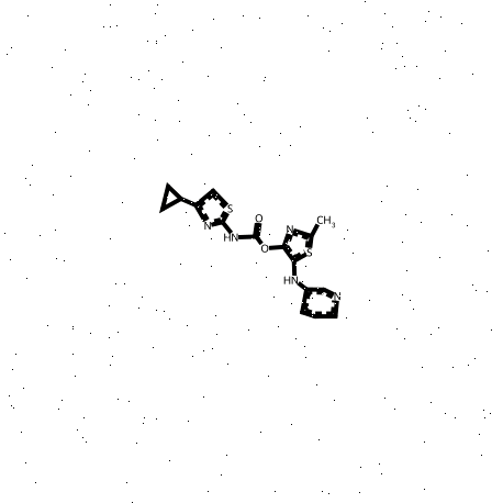 Cc1nc(OC(=O)Nc2nc(C3CC3)cs2)c(Nc2cccnc2)s1